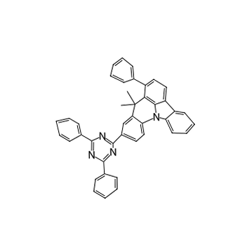 CC1(C)c2cc(-c3nc(-c4ccccc4)nc(-c4ccccc4)n3)ccc2-n2c3ccccc3c3ccc(-c4ccccc4)c1c32